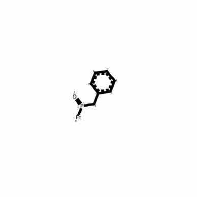 CC[P](=O)Cc1ccccc1